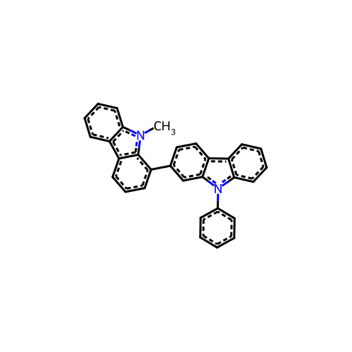 Cn1c2ccccc2c2cccc(-c3ccc4c5ccccc5n(-c5ccccc5)c4c3)c21